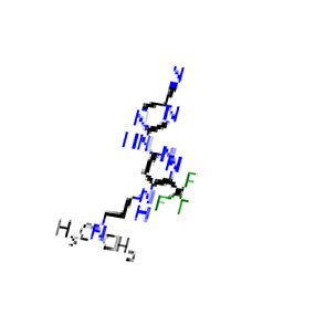 CN(C)CCCNc1cc(Nc2cnc(C#N)cn2)nnc1C(F)(F)F